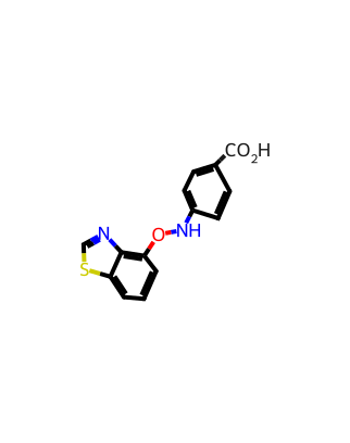 O=C(O)c1ccc(NOc2cccc3scnc23)cc1